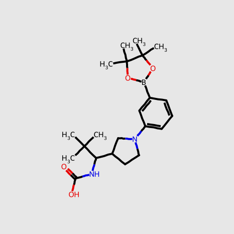 CC(C)(C)C(NC(=O)O)C1CCN(c2cccc(B3OC(C)(C)C(C)(C)O3)c2)C1